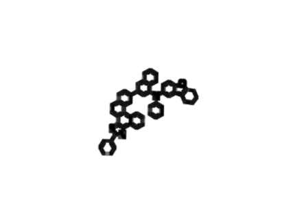 C1=CC(c2nc3c4ccccc4c4c5cc(-c6cc(N(c7ccccc7)c7ccc8oc9c(c8c7)C=CCC9)c7ccccc7c6)ccc5ccc4c3s2)=CCC1